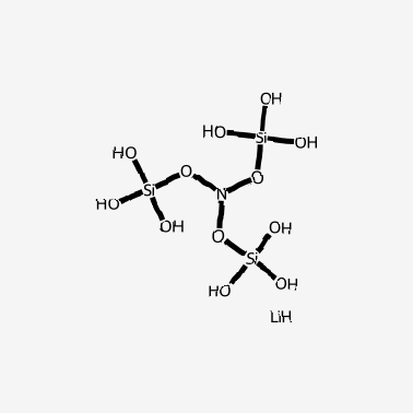 O[Si](O)(O)ON(O[Si](O)(O)O)O[Si](O)(O)O.[LiH]